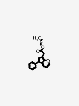 COCOC(=O)Cc1cc(-c2ccccc2)c2cccoc1-2